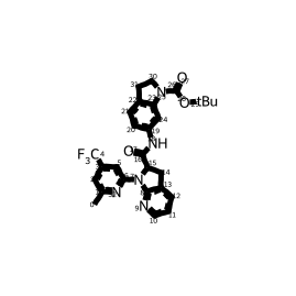 Cc1cc(C(F)(F)F)cc(N2c3ncccc3CC2C(=O)Nc2ccc3c(c2)N(C(=O)OC(C)(C)C)CC3)n1